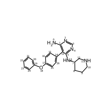 Nc1ncnc(N[C@@H]2CCCNC2)c1-c1ccc(Oc2ccccc2)cc1